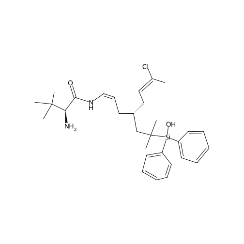 C/C(Cl)=C\C[C@@H](C/C=C\NC(=O)[C@@H](N)C(C)(C)C)CC(C)(C)[Si](O)(c1ccccc1)c1ccccc1